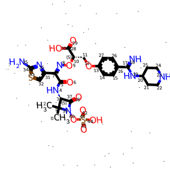 CC1(C)[C@H](NC(=O)C(=NO[C@@H](COc2ccc(C(=N)NC3CCNCC3)cc2)C(=O)O)c2csc(N)n2)C(=O)N1OS(=O)(=O)O